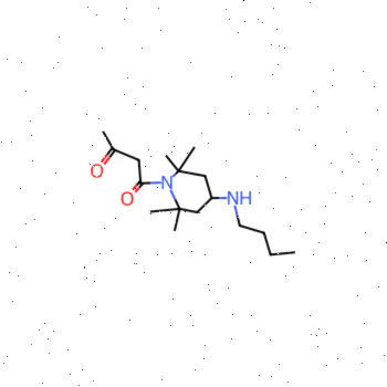 CCCCNC1CC(C)(C)N(C(=O)CC(C)=O)C(C)(C)C1